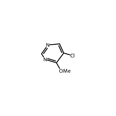 COc1ncncc1Cl